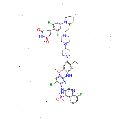 CCc1cc(Nc2ncc(Br)c(Nc3cnc4c(F)cccc4c3P(C)(C)=O)n2)c(OC)cc1N1CCC(N2CCN(CCC3CCCCN3c3cc(F)c(C4CC(=O)NC(=O)C4)c(F)c3)CC2)CC1